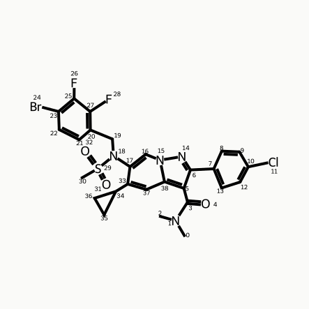 CN(C)C(=O)c1c(-c2ccc(Cl)cc2)nn2cc(N(Cc3ccc(Br)c(F)c3F)S(C)(=O)=O)c(C3CC3)cc12